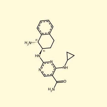 NC(=O)c1cnc(N[C@@H]2CCc3ccccc3[C@H]2N)nc1NC1CC1